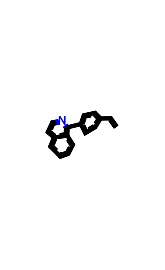 C=Cc1ccc(-c2nccc3ccccc23)cc1